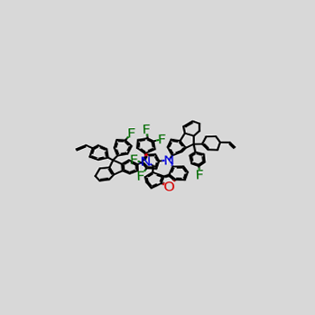 C=Cc1ccc(C2(c3ccc(F)cc3)C3=C(C=CCC3)c3ccc(N(Cc4cccc5oc6cccc(N(c7ccc(F)c(F)c7)c7ccc8c(c7)C(C7=CCC(C=C)CC7)(c7ccc(F)cc7)C7CCC=CC87)c6c45)c4ccc(F)c(F)c4)cc32)cc1